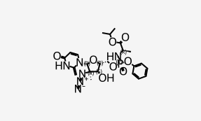 C=C1NC(=O)C=CN1[C@@H]1O[C@H](CO[P@](=O)(N[C@H](C)C(=O)OC(C)C)Oc2ccccc2)[C@@H](O)[C@@]1(C)N=[N+]=[N-]